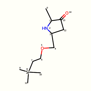 CC1NC(COCC[Si](C)(C)C)CC1=O